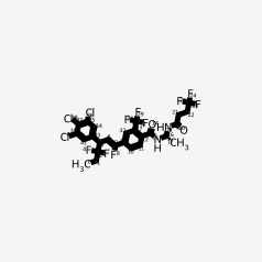 CCC(F)(F)C(/C=C(\F)c1ccc(C(=O)N[C@H](C)NC(=O)CCC(F)(F)F)c(C(F)(F)F)c1)c1cc(Cl)c(Cl)c(Cl)c1